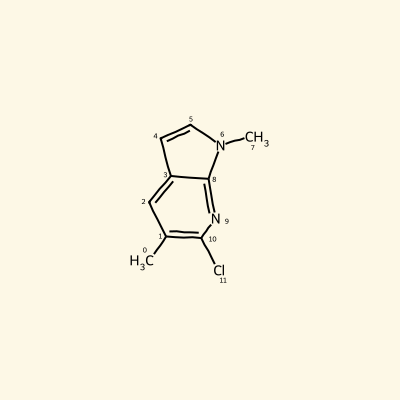 Cc1cc2ccn(C)c2nc1Cl